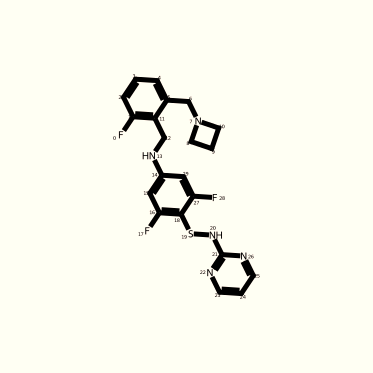 Fc1cccc(CN2CCC2)c1CNc1cc(F)c(SNc2ncccn2)c(F)c1